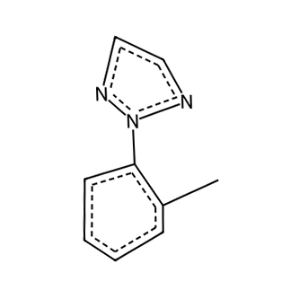 Cc1ccccc1-n1nccn1